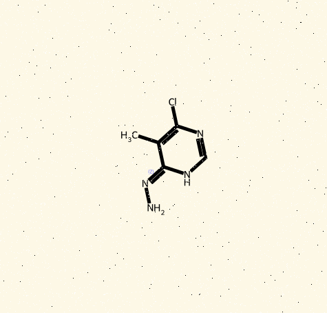 Cc1c(Cl)nc[nH]/c1=N\N